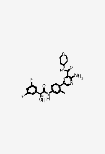 Cc1cc(NC(=O)[C@@H](O)c2cc(F)cc(F)c2)ccc1-c1cnc(N)c(C(=O)NC2CCOCC2)n1